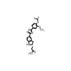 COc1cc(-c2nc(-c3ccc4c(c3)C[C@H](CCC(=O)O)N4)no2)ccc1OC(F)F